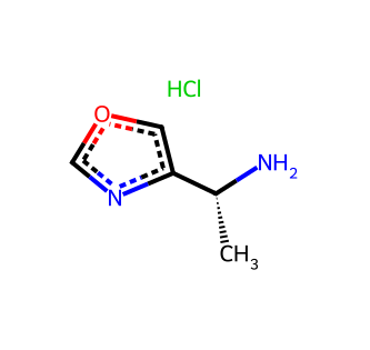 C[C@@H](N)c1cocn1.Cl